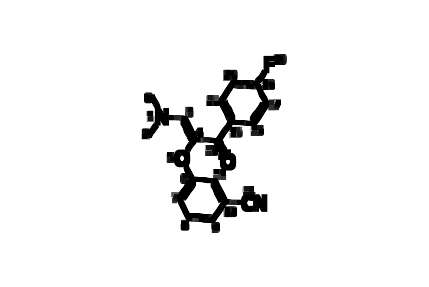 CN(C)C=C(Oc1cccc(C#N)c1)C(=O)c1ccc(F)cc1